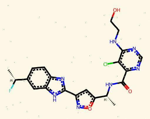 C[C@@H](F)c1ccc2nc(-c3cc([C@@H](C)NC(=O)c4ncnc(NCCO)c4Cl)on3)[nH]c2c1